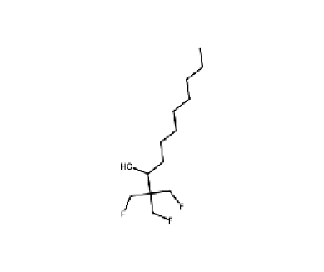 CCCCCCCCC(O)C(CF)(CF)CF